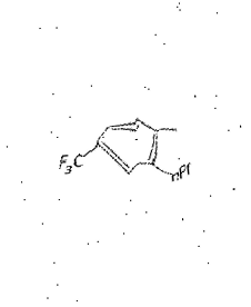 CCCc1cc(C(F)(F)F)ccc1C